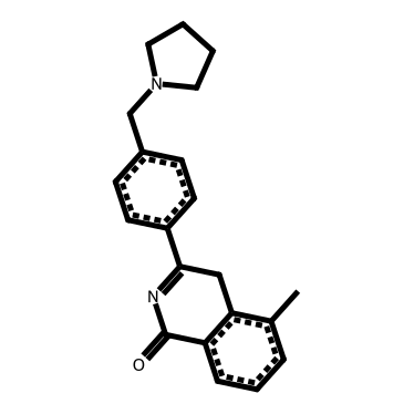 Cc1cccc2c1CC(c1ccc(CN3CCCC3)cc1)=NC2=O